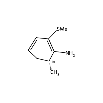 CSC1=C(N)[C@H](C)CC=C1